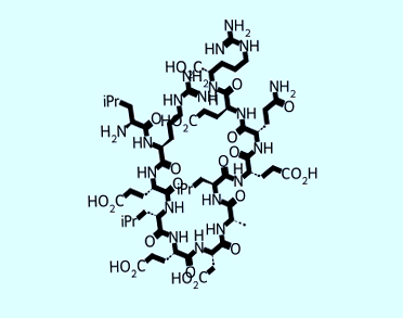 CC(C)C[C@H](NC(=O)[C@H](C)NC(=O)[C@H](CC(=O)O)NC(=O)[C@H](CCC(=O)O)NC(=O)[C@H](CC(C)C)NC(=O)[C@H](CCC(=O)O)NC(=O)[C@H](CCCNC(=N)N)NC(=O)[C@@H](N)CC(C)C)C(=O)N[C@@H](CCC(=O)O)C(=O)N[C@@H](CCC(N)=O)C(=O)N[C@@H](CCC(=O)O)C(=O)N[C@@H](CCCNC(=N)N)C(=O)O